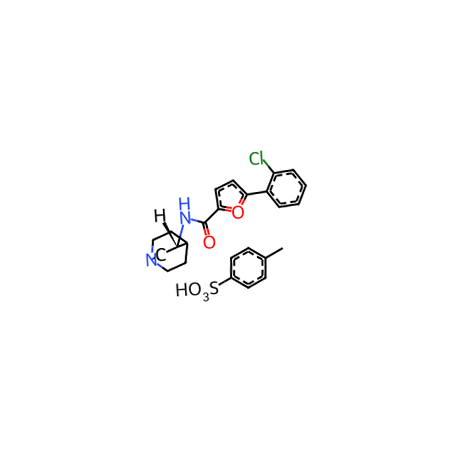 Cc1ccc(S(=O)(=O)O)cc1.O=C(N[C@H]1CN2CCC1CC2)c1ccc(-c2ccccc2Cl)o1